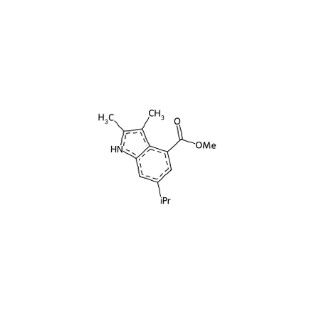 COC(=O)c1cc(C(C)C)cc2[nH]c(C)c(C)c12